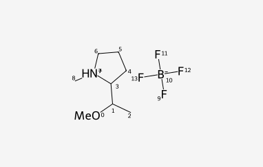 COC(C)C1CCC[NH+]1C.F[B-](F)(F)F